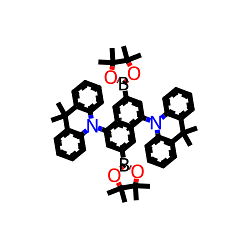 CC1(C)c2ccccc2N(c2cc(B3OC(C)(C)C(C)(C)O3)cc3c(N4c5ccccc5C(C)(C)c5ccccc54)cc(B4OC(C)(C)C(C)(C)O4)cc23)c2ccccc21